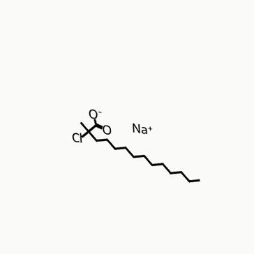 CCCCCCCCCCCCC(C)(Cl)C(=O)[O-].[Na+]